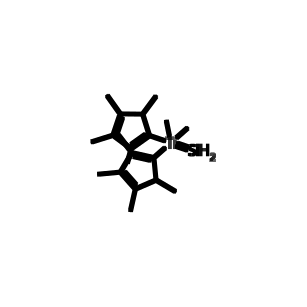 CC1=C(C)C(C)[C]([Ti]([CH3])([CH3])(=[SiH2])[C]2=C(C)C(C)=C(C)C2C)=C1C